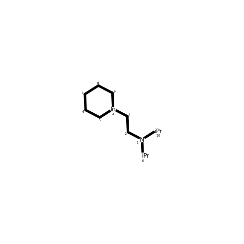 CC(C)N(C[CH2][In]1[CH2]CCC[CH2]1)C(C)C